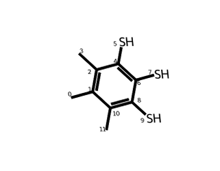 Cc1c(C)c(S)c(S)c(S)c1C